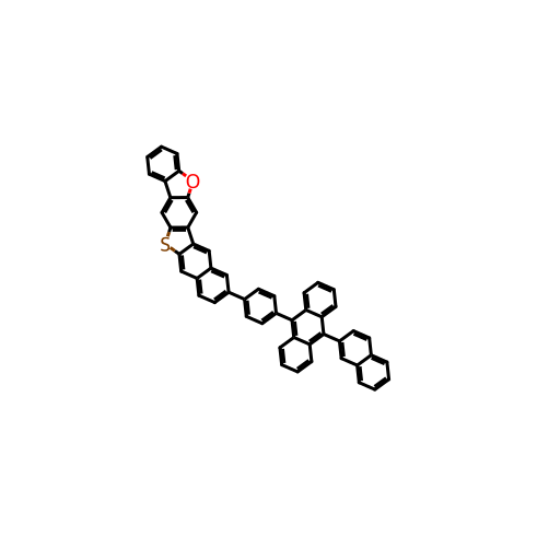 c1ccc2cc(-c3c4ccccc4c(-c4ccc(-c5ccc6cc7sc8cc9c(cc8c7cc6c5)oc5ccccc59)cc4)c4ccccc34)ccc2c1